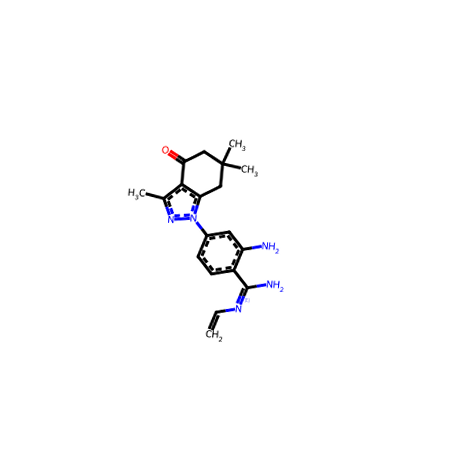 C=C/N=C(/N)c1ccc(-n2nc(C)c3c2CC(C)(C)CC3=O)cc1N